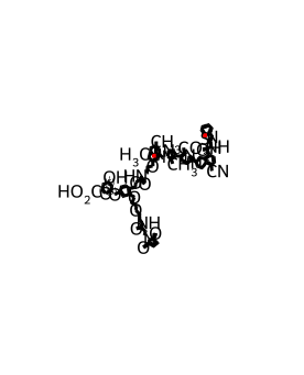 Cc1c(-c2ccc(N3CCc4c(C#N)ccc(C(=O)Nc5nc6ccccc6s5)c4C3)nc2C(=O)O)cnn1CC12CC3(C)CC(C)(C1)CC(OCCNC(=O)OCc1ccc(O[C@H]4C[C@@H](O)C[C@@H](C(=O)O)O4)cc1OCCOCCNC(=O)CCN1C(=O)C=CC1=O)(C3)C2